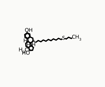 CCCCSCCCCCCCCCCC[C@@H]1Cc2cc(O)ccc2[C@H]2CC[C@]3(C)[C@@H](O)CC[C@H]3[C@H]12